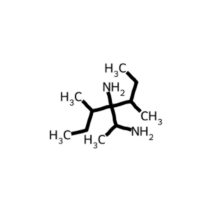 CCC(C)C(N)(C(C)N)C(C)CC